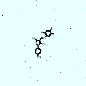 Cc1nn(-c2ccc(C#N)cc2)c(C)c1COc1cc(F)c(F)cc1F